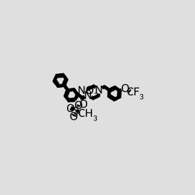 CS(=O)(=O)OC1=CC=C(c2ccccc2)CC1(C(=O)N1CCN(Cc2cccc(OC(F)(F)F)c2)CC1)[N+](=O)[O-]